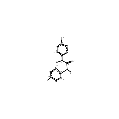 CC(C(=O)C(C)c1ncc(F)cn1)c1ncc(F)cn1